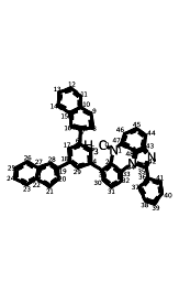 CN1c2c(-c3cc(-c4ccc5ccccc5c4)cc(-c4ccc5ccccc5c4)c3)cccc2-n2c(-c3ccccc3)nc3cccc1c32